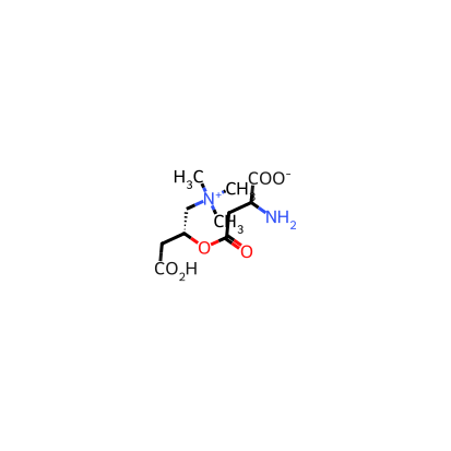 C[N+](C)(C)C[C@@H](CC(=O)O)OC(=O)CC(N)C(=O)[O-]